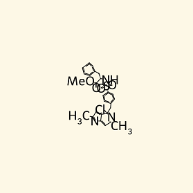 COC(=O)[C@@H](Cc1ccccc1)NS(=O)(=O)c1ccc(CC2(Cl)N=C(C)C=C3N=C(C)C=C32)cc1